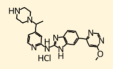 COc1cc(-c2ccc3nc(Nc4cc(C(C)N5CCNCC5)ccn4)[nH]c3c2)ncn1.Cl